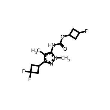 Cc1c(C2CC(F)(F)C2)nn(C)c1NC(=O)OC1CC(F)C1